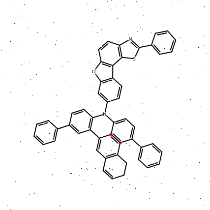 C1=Cc2cc(-c3cc(-c4ccccc4)ccc3N(c3ccc(-c4ccccc4)cc3)c3ccc4c(c3)oc3ccc5nc(-c6ccccc6)sc5c34)ccc2CC1